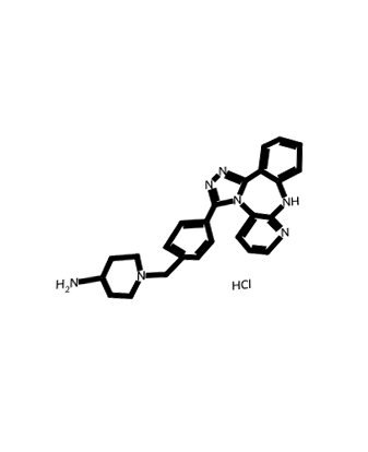 Cl.NC1CCN(Cc2ccc(-c3nnc4n3-c3cccnc3Nc3ccccc3-4)cc2)CC1